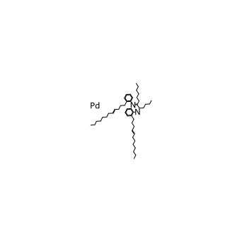 CCCCCCCC=CCCCc1ccccc1N=C(CCCC)C(CCCCCC)=Nc1ccccc1CCCC=CCCCCCCC.[Pd]